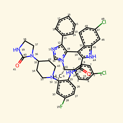 C[C@@H](c1ccc(Cl)cc1)n1cnc(-c2ccccc2)c1-c1c(C(=O)Nc2ccc(F)cc2N2CCC(N3CCNC3=O)CC2)[nH]c2cc(Cl)ccc12